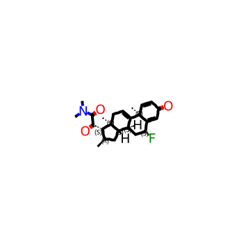 C[C@@H]1C[C@H]2[C@@H]3C[C@H](F)C4=CC(=O)C=C[C@]4(C)C3=CC[C@]2(C)[C@H]1C(=O)C(=O)N(C)C